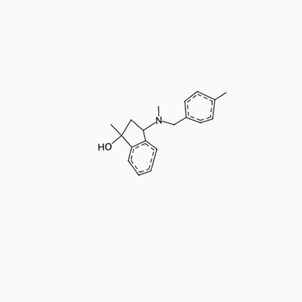 Cc1ccc(CN(C)C2CC(C)(O)c3ccccc32)cc1